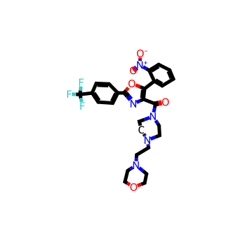 O=C(c1nc(-c2ccc(C(F)(F)F)cc2)oc1-c1ccccc1[N+](=O)[O-])N1CCN(CCN2CCOCC2)CC1